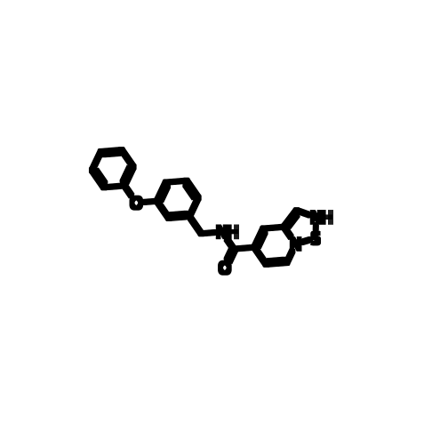 O=C(NCc1cccc(Oc2ccccc2)c1)C1=CC2=CNSN2C=C1